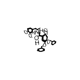 COc1ccc(CC(C)NCC(O)c2cc(OCc3ccccc3)c(OCc3ccccc3)cc2Cl)cc1OC.Cl